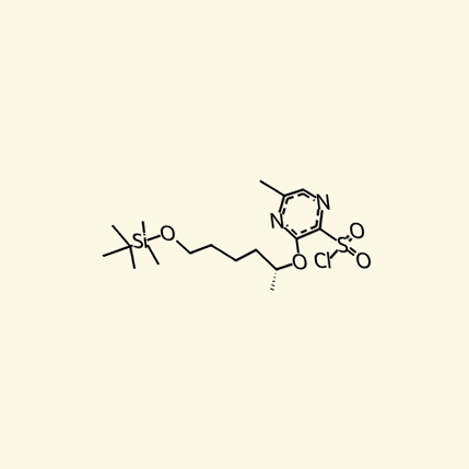 Cc1cnc(S(=O)(=O)Cl)c(O[C@H](C)CCCCO[Si](C)(C)C(C)(C)C)n1